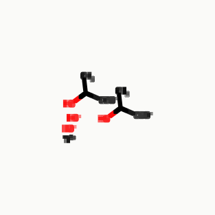 CC(O)C(=O)[O-].CC(O)C(=O)[O-].[OH-].[OH-].[Ti+4]